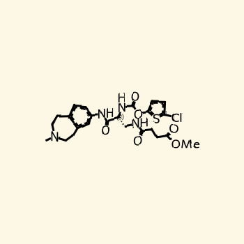 COC(=O)CCC(=O)NC[C@@H](NC(=O)Oc1ccc(Cl)s1)C(=O)Nc1ccc2c(c1)CCN(C)CC2